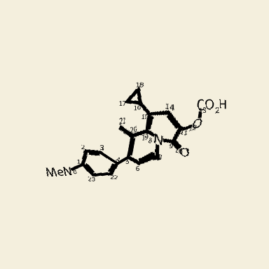 CNc1ccc(-c2ccn3c(=O)c(OC(=O)O)cc(C4CC4)c3c2C)cc1